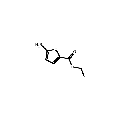 Bc1ccc(C(=O)OCC)o1